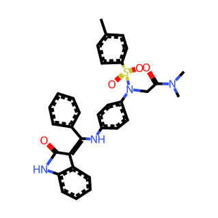 Cc1ccc(S(=O)(=O)N(CC(=O)N(C)C)c2ccc(NC(=C3C(=O)Nc4ccccc43)c3ccccc3)cc2)cc1